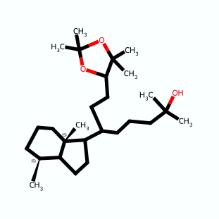 C[C@H]1CCC[C@]2(C)C(C(CCCC(C)(C)O)CCC3OC(C)(C)OC3(C)C)CCC12